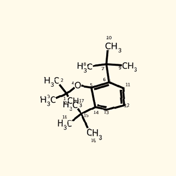 CC(C)(C)Oc1c(C(C)(C)C)cccc1C(C)(C)C